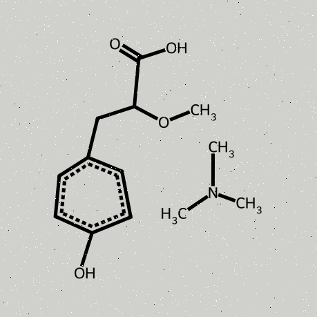 CN(C)C.COC(Cc1ccc(O)cc1)C(=O)O